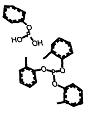 Cc1ccccc1OP(Oc1ccccc1C)Oc1ccccc1C.OP(O)Oc1ccccc1